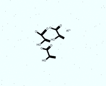 C=C(O)C(=O)[O-].C=C(O)C(=O)[O-].C=C(O)C(=O)[O-].[Al+3]